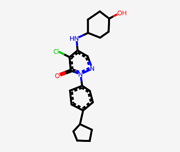 O=c1c(Cl)c(NC2CCC(O)CC2)cnn1-c1ccc(C2CCCC2)cc1